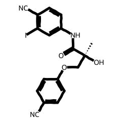 C[C@](O)(COc1ccc(C#N)cc1)C(=O)Nc1ccc(C#N)c(I)c1